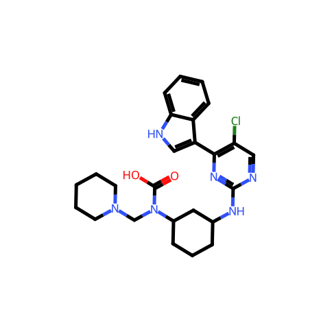 O=C(O)N(CN1CCCCC1)C1CCCC(Nc2ncc(Cl)c(-c3c[nH]c4ccccc34)n2)C1